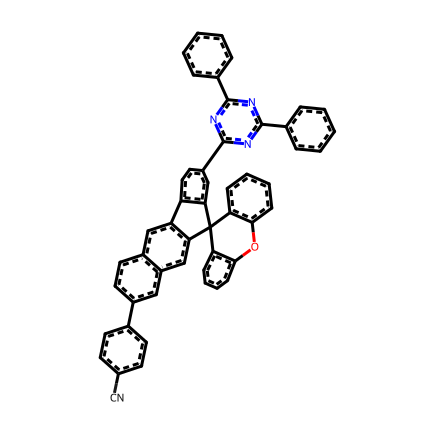 N#Cc1ccc(-c2ccc3cc4c(cc3c2)C2(c3ccccc3Oc3ccccc32)c2cc(-c3nc(-c5ccccc5)nc(-c5ccccc5)n3)ccc2-4)cc1